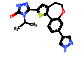 CC(C)n1c(-c2cc3c(s2)-c2ccc(-c4cn[nH]c4)cc2OCC3)n[nH]c1=O